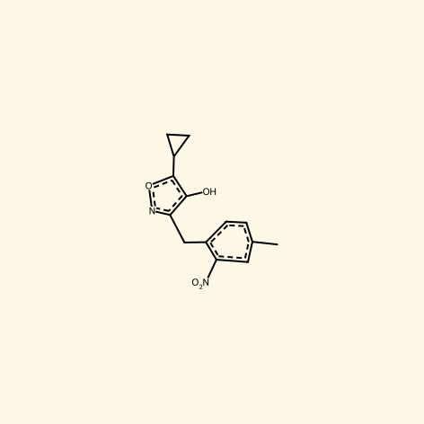 Cc1ccc(Cc2noc(C3CC3)c2O)c([N+](=O)[O-])c1